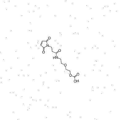 O=C(CCN1C(=O)C=CC1=O)NCCOCCOC(=O)O